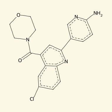 Nc1ccc(-c2cc(C(=O)N3CCOCC3)c3cc(Cl)ccc3n2)cn1